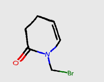 O=C1CCC=CN1CBr